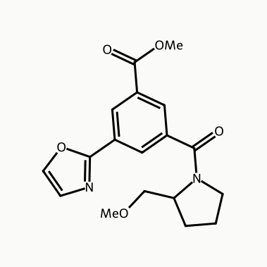 COCC1CCCN1C(=O)c1cc(C(=O)OC)cc(-c2ncco2)c1